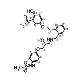 CS(=O)(=O)Nc1ccc(OCC(O)CNCc2ccccc2CCOc2ccc(O)c(C(N)=O)c2)cc1